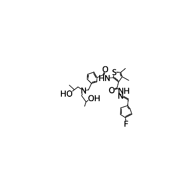 Cc1sc(NC(=O)c2cccc(CN(CC(C)O)CC(C)O)c2)c(C(=O)NN=Cc2ccc(F)cc2)c1C